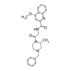 COc1cc(C(=O)NCC(=O)N2CCN(Cc3ccccc3)CC2C)nc2ccccc12